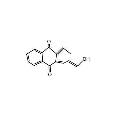 C/C=C1/C(=O)c2ccccc2C(=O)/C1=C/C=CO